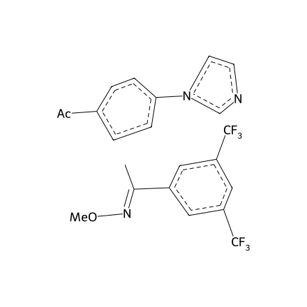 CC(=O)c1ccc(-n2ccnc2)cc1.CON=C(C)c1cc(C(F)(F)F)cc(C(F)(F)F)c1